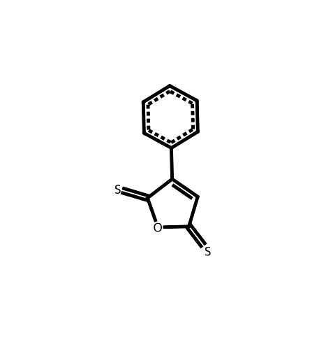 S=C1C=C(c2ccccc2)C(=S)O1